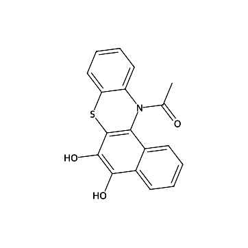 CC(=O)N1c2ccccc2Sc2c(O)c(O)c3ccccc3c21